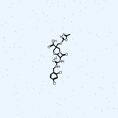 Cc1nnc(SCC2(C(=O)O)CS[C@@H]3C(NC(=O)NCc4ccc(Cl)cc4Cl)C(=O)N3C2)o1